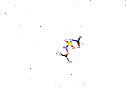 CC(C)C(=O)NS(=O)(=O)NO[C@H](C)C(C)C